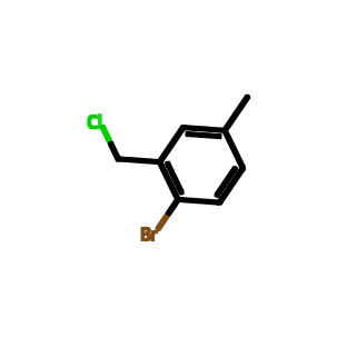 Cc1ccc(Br)c(CCl)c1